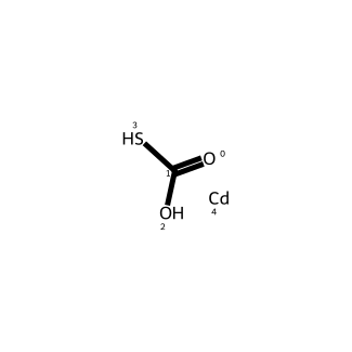 O=C(O)S.[Cd]